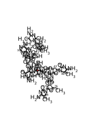 C=C1N=C(N)C(C)=CN1[C@@H]1O[C@]2(COP(=O)(S)OC3[C@@H]4O[C@@H](C)[C@]3(COP(=O)(S)OC3[C@@H]5O[C@@H](C)[C@]3(COP(=O)(S)OC3C[C@H](n6cc(C)c(N)nc6=O)O[C@@H]3COP(=O)(S)OC3C[C@H](n6cc(C)c(N)nc6=O)O[C@@H]3CC)O[C@H]5n3cnc5c(=O)[nH]c(N)nc53)O[C@H]4n3cnc4c(N)ncnc43)C(O)[C@@H]1O[C@H]2C